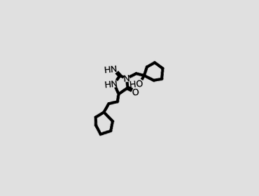 N=C1NC(CCC2CCCCC2)C(=O)N1CC1(O)CCCCC1